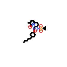 CCCCCC1CCC(OCC2C(NS(=O)(=O)C3CC3)CCc3ccc(C)c(=O)n32)CC1